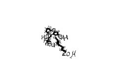 CCCCC(F)(F)C(O)CC[C@@H]1[C@@H](CC=CCCCC(=O)O)[C@@H](O)C[C@H]1OC1CCCCO1